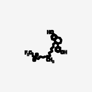 CN(CCCCCCC1=C(c2cccc(O)c2)CCCc2cc(O)ccc21)CCCCS(=O)(=O)CCC(F)(F)F